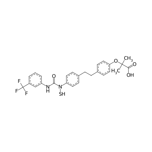 CC(C)(Oc1ccc(CCc2ccc(N(S)C(=O)Nc3cccc(C(F)(F)F)c3)cc2)cc1)C(=O)O